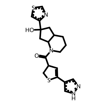 O=C(C1C=C(c2cn[nH]c2)SC1)N1CCCC2CC(O)(c3cscn3)CC21